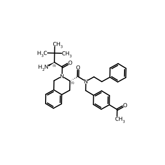 CC(=O)c1ccc(CN(CCc2ccccc2)C(=O)[C@@H]2Cc3ccccc3CN2C(=O)[C@@H](N)C(C)(C)C)cc1